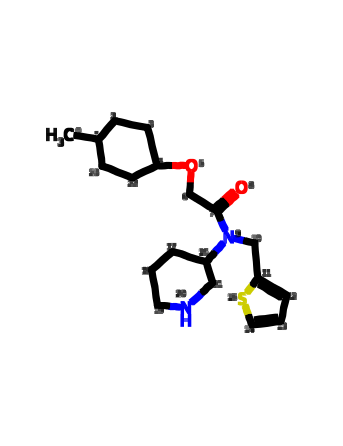 CC1CCC(OCC(=O)N(Cc2cccs2)C2CCCNC2)CC1